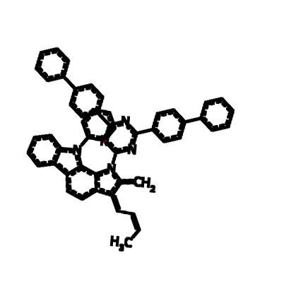 C=c1/c(=C\C=C/C)c2ccc3c4ccccc4n(-c4ccccc4)c3c2n1-c1nc(-c2ccc(-c3ccccc3)cc2)nc(-c2ccc(-c3ccccc3)cc2)n1